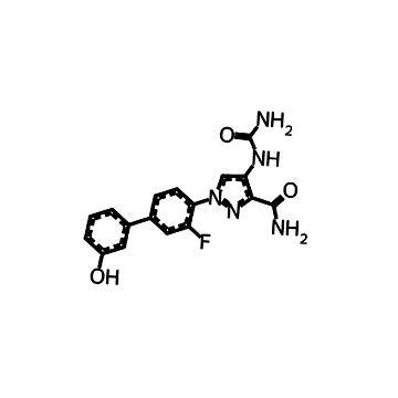 NC(=O)Nc1cn(-c2ccc(-c3cccc(O)c3)cc2F)nc1C(N)=O